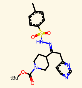 Cc1ccc(S(=O)(=O)N/N=C(/Cc2ccncn2)C2CCN(C(=O)OC(C)(C)C)CC2)cc1